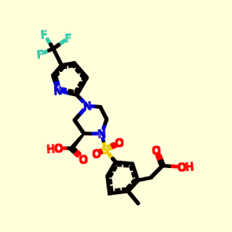 Cc1ccc(S(=O)(=O)N2CCN(c3ccc(C(F)(F)F)cn3)C[C@@H]2C(=O)O)cc1CC(=O)O